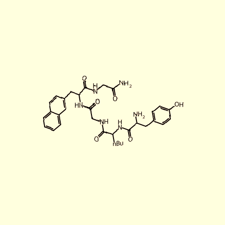 CCCCC(NC(=O)C(N)Cc1ccc(O)cc1)C(=O)NCC(=O)NC(Cc1ccc2ccccc2c1)C(=O)NCC(N)=O